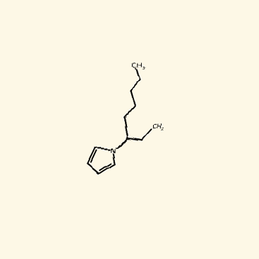 CCCCCC(CC)n1cccc1